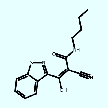 CCCCNC(=O)C(C#N)=C(O)c1nsc2ccccc12